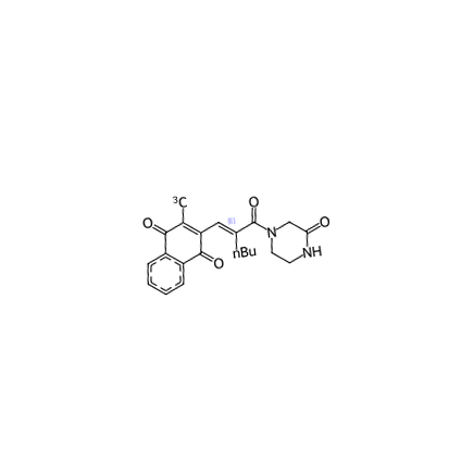 CCCC/C(=C\C1=C([3CH3])C(=O)c2ccccc2C1=O)C(=O)N1CCNC(=O)C1